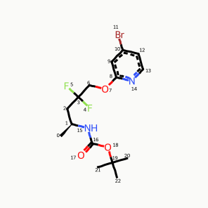 C[C@@H](CC(F)(F)COc1cc(Br)ccn1)NC(=O)OC(C)(C)C